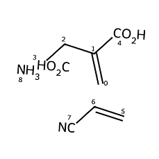 C=C(CC(=O)O)C(=O)O.C=CC#N.N